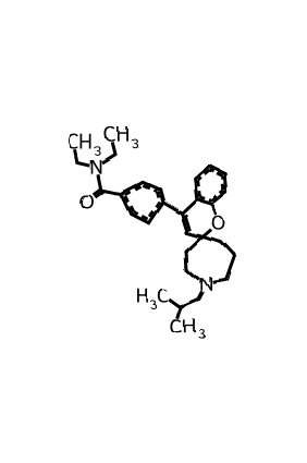 CCN(CC)C(=O)c1ccc(C2=CC3(CCCN(CC(C)C)CC3)Oc3ccccc32)cc1